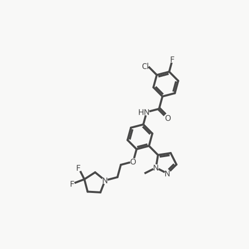 Cn1nccc1-c1cc(NC(=O)c2ccc(F)c(Cl)c2)ccc1OCCN1CCC(F)(F)C1